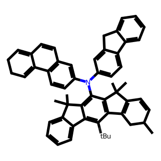 CC1C=CC2=C(C1)c1c(C(C)(C)C)c3c(c(N(c4ccc5c(c4)Cc4ccccc4-5)c4ccc5c6c(ccc5c4)=CCCC=6)c1C2(C)C)C(C)(C)c1ccccc1-3